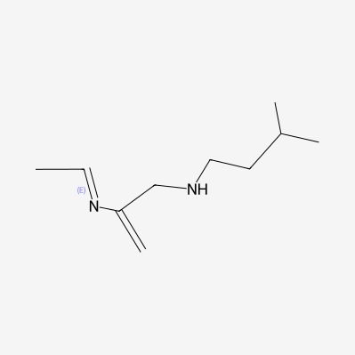 C=C(CNCCC(C)C)/N=C/C